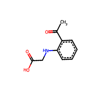 CC(=O)c1ccccc1NCC(=O)O